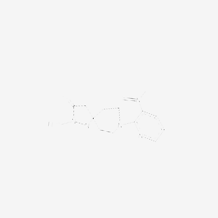 CN1NC2(CCN(c3ncccc3[N+](=O)[O-])CC2)CC1=O